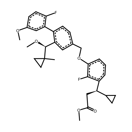 COC(=O)C[C@@H](c1cccc(OCc2ccc(-c3cc(OC)ccc3F)c([C@H](OC)C3(C)CC3)c2)c1F)C1CC1